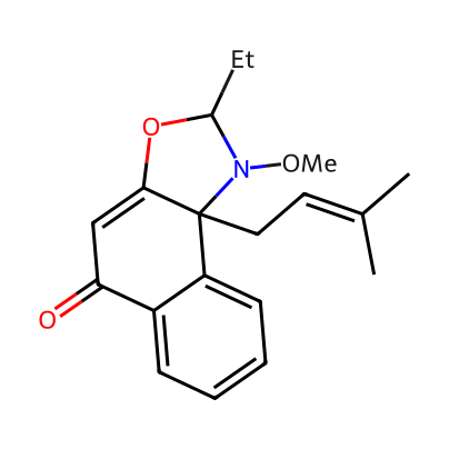 CCC1OC2=CC(=O)c3ccccc3C2(CC=C(C)C)N1OC